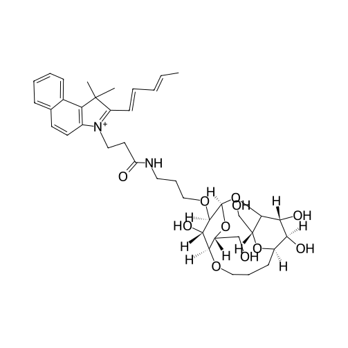 C/C=C/C=C/C1=[N+](CCC(=O)NCCCO[C@H]2[C@H]3OC4[C@@H](CO)O[C@H](CCCO[C@@H]([C@@H]2O)[C@@H](CO)O3)[C@H](O)[C@H]4O)c2ccc3ccccc3c2C1(C)C